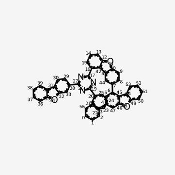 c1ccc(-c2cc(-c3ccc4oc5cccc(-c6nc(-c7ccccc7)nc(-c7ccc8c(c7)oc7ccccc78)n6)c5c4c3)c3c(c2)oc2ccccc23)cc1